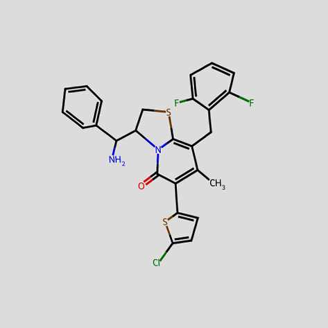 Cc1c(Cc2c(F)cccc2F)c2n(c(=O)c1-c1ccc(Cl)s1)C(C(N)c1ccccc1)CS2